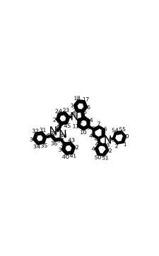 C1=CCC(N2C3=CC=C(c4ccc5c(c4)c4ccccc4n5-c4cccc(-c5nc(-c6ccccc6)cc(-c6ccccc6)n5)c4)CC3C3C=CC=CC32)C=C1